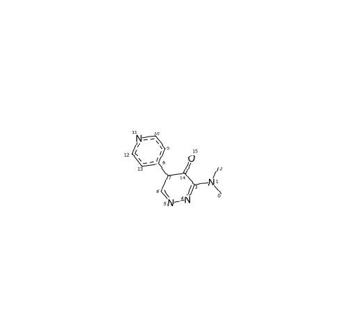 CN(C)C1=NN=CC(c2ccncc2)C1=O